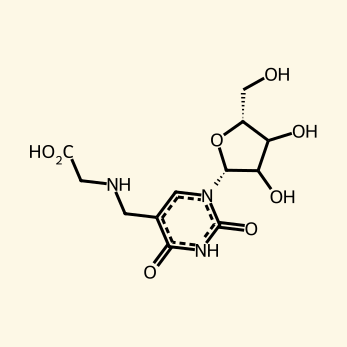 O=C(O)CNCc1cn([C@@H]2O[C@H](CO)C(O)C2O)c(=O)[nH]c1=O